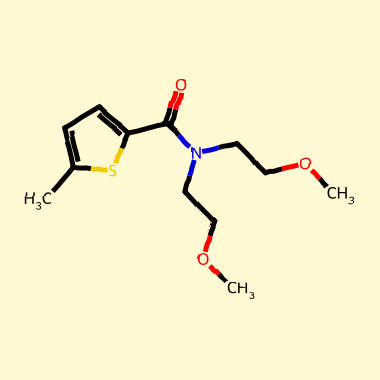 COCCN(CCOC)C(=O)c1ccc(C)s1